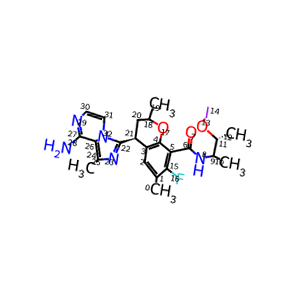 Cc1cc2c(c(C(=O)NC(C)[C@@H](C)OI)c1F)OC(C)C[C@@H]2c1nc(C)c2c(N)nccn12